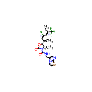 C=C(/C=C(F)\C=C(/C)C(F)(F)F)[C@H]1OC(=O)N(C(=O)NCc2cnc3sccn23)[C@H]1C